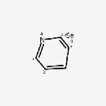 [Se].c1ccncc1